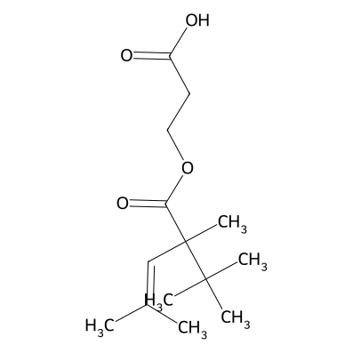 CC(C)=CC(C)(C(=O)OCCC(=O)O)C(C)(C)C